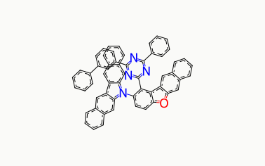 c1ccc(-c2cccc(-c3nc(-c4ccccc4)nc(-c4c(-n5c6cc7ccccc7cc6c6cc7ccccc7cc65)ccc5oc6cc7ccccc7cc6c45)n3)c2)cc1